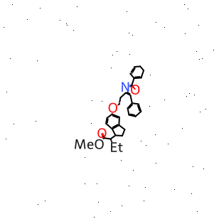 CCC(C(=O)OC)C1CCc2cc(OCCc3nc(C4=CCCC=C4)oc3-c3ccccc3)ccc21